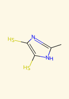 Cc1nc(S)c(S)[nH]1